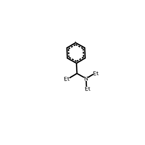 CCC(c1cc[c]cc1)N(CC)CC